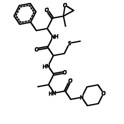 CSCC(NC(=O)C(C)NC(=O)CN1CCOCC1)C(=O)NC(Cc1ccccc1)C(=O)C1(C)CO1